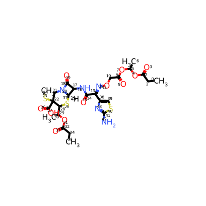 CCC(=O)OC(C)OC(=O)CON=C(C(=O)NC1C(=O)N2CC(SC)(C(=O)O)C(C(C)OC(=O)CC)S[C@H]12)c1csc(N)n1